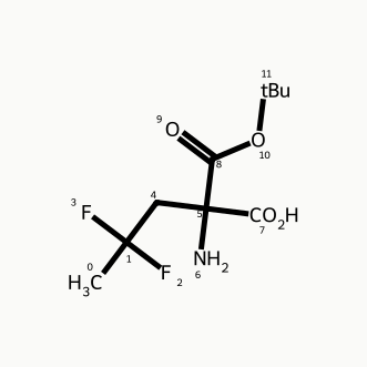 CC(F)(F)CC(N)(C(=O)O)C(=O)OC(C)(C)C